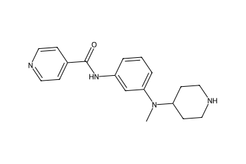 CN(c1cccc(NC(=O)c2ccncc2)c1)C1CCNCC1